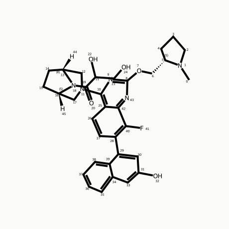 CN1CCC[C@H]1COc1nc(N2C[C@H]3CC[C@@H](C2)N3C(=O)C(O)CO)c2ccc(-c3cc(O)cc4ccccc34)c(F)c2n1